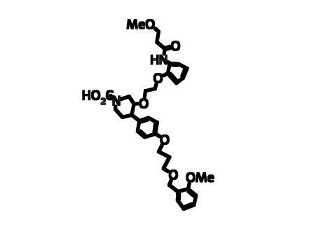 COCCC(=O)Nc1ccccc1OCCOC1CN(C(=O)O)CCC1c1ccc(OCCCOCc2ccccc2OC)cc1